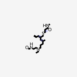 C=C/C=C(\C=C(/C)CCCN(CC)CCNC=O)CS/C=C/C(=O)NC